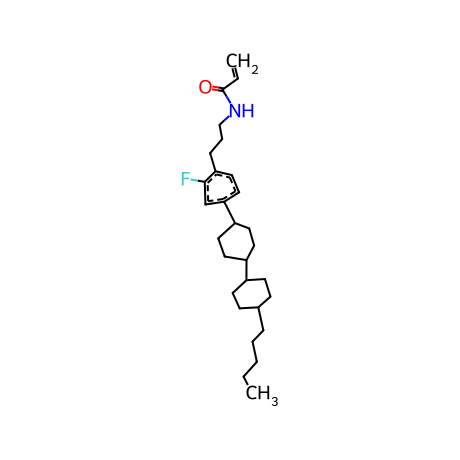 C=CC(=O)NCCCc1ccc(C2CCC(C3CCC(CCCCC)CC3)CC2)cc1F